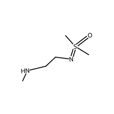 CNCCN=S(C)(C)=O